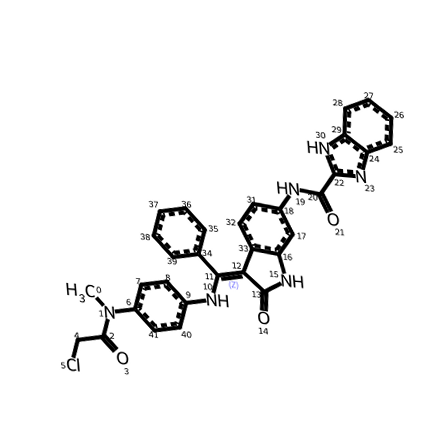 CN(C(=O)CCl)c1ccc(N/C(=C2\C(=O)Nc3cc(NC(=O)c4nc5ccccc5[nH]4)ccc32)c2ccccc2)cc1